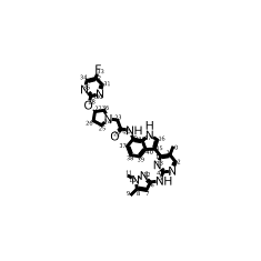 Cc1cnc(Nc2cc(C)n(C)n2)nc1-c1c[nH]c2c(NC(=O)CN3CC[C@H](Oc4ncc(F)cn4)C3)cccc12